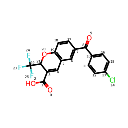 O=C(O)C1=Cc2cc(C(=O)c3ccc(Cl)cc3)ccc2OC1C(F)(F)F